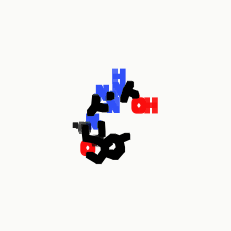 Cc1ccc2c(c1)[C@@]1(CCN(Cc3cnc(NC(C)(C)CO)nc3)[C@@H](C)C1)OCC2